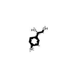 [C-]#[N+]c1ccc([C@H](O)CO)cc1